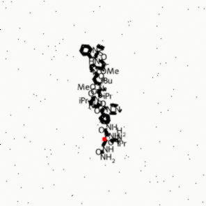 CC[C@H](C)[C@@H]([C@@H](CC(=O)N1CCC[C@H]1[C@H](OC)[C@@H](C)C(=O)N[C@@H](CC1CCCCC1)c1nccs1)OC)N(C)C(=O)[C@@H](NC(=O)[C@H](C(C)C)N(C)C(=O)OC(C(=O)N1CCN(C)CC1)c1ccc(NC(=O)[C@H](CCCNC(N)=O)NC(=O)[C@@H](N)C(C)C)cc1)C(C)C